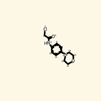 O=C(CCl)Nc1ccc(N2CCOCC2)cc1